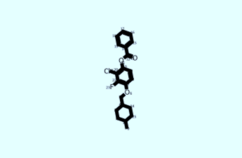 CC1CCC(COc2ccc(OC(=O)c3ccccc3)c(Cl)c2F)CC1